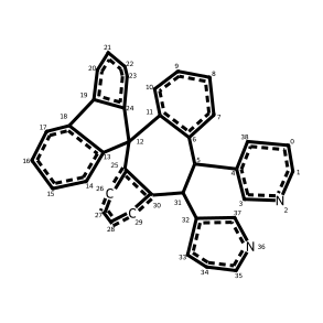 c1cncc(C2c3ccccc3C3(c4ccccc4-c4ccccc43)c3ccccc3C2c2cccnc2)c1